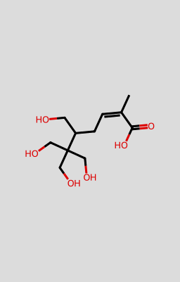 CC(=CCC(CO)C(CO)(CO)CO)C(=O)O